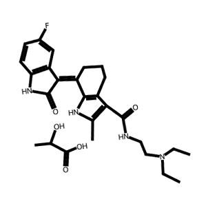 CC(O)C(=O)O.CCN(CC)CCNC(=O)c1c(C)[nH]c2c1CCCC2=C1C(=O)Nc2ccc(F)cc21